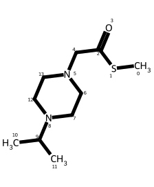 CSC(=O)CN1CCN(C(C)C)CC1